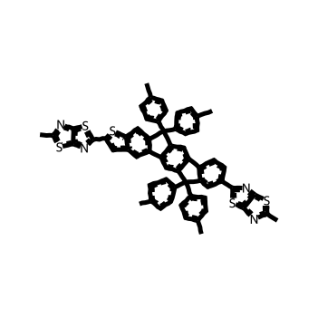 Cc1ccc(C2(c3ccc(C)cc3)c3cc(-c4nc5sc(C)nc5s4)ccc3-c3cc4c(cc32)-c2cc3cc(-c5nc6sc(C)nc6s5)sc3cc2C4(c2ccc(C)cc2)c2ccc(C)cc2)cc1